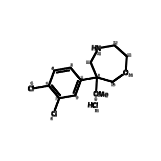 COC1(c2ccc(Cl)c(Cl)c2)CNCCOC1.Cl